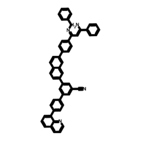 N#Cc1cc(-c2ccc(-c3cccc4cccnc34)cc2)cc(-c2ccc3ccc(-c4ccc(C(/C=C(\N)c5ccccc5)=N/Cc5ccccc5)cc4)cc3c2)c1